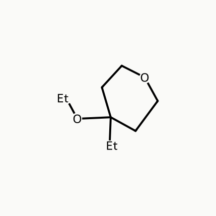 CCOC1(CC)CCOCC1